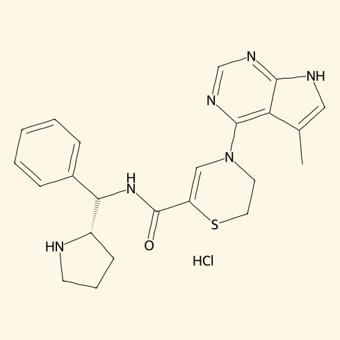 Cc1c[nH]c2ncnc(N3C=C(C(=O)NC(c4ccccc4)[C@@H]4CCCN4)SCC3)c12.Cl